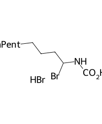 Br.CCCCCCCCC(Br)NC(=O)O